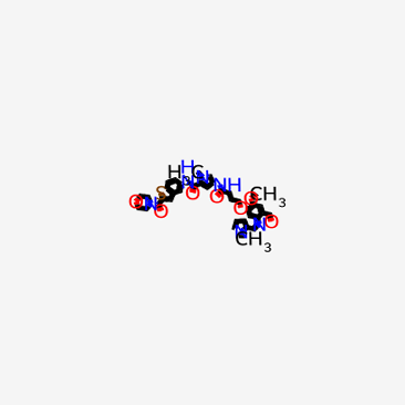 COc1cc(C=O)c(/N=C\C2CCCN2C)cc1OCCCC(=O)NC1C=C(C(=O)Nc2ccc3sc(C(=O)N4CCOCC4)cc3c2)N(C)C1